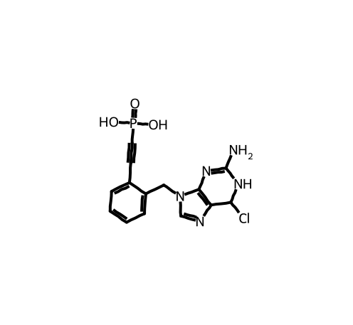 NC1=Nc2c(ncn2Cc2ccccc2C#CP(=O)(O)O)C(Cl)N1